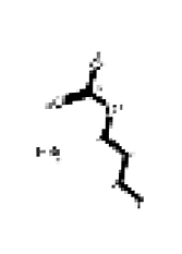 Br.CCCCOC([O])=O